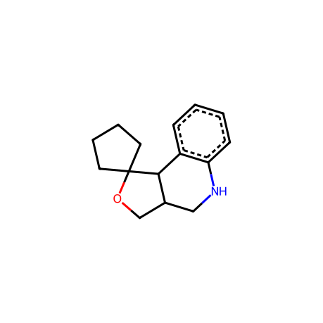 c1ccc2c(c1)NCC1COC3(CCCC3)C21